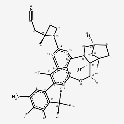 Cc1c(F)c(N)cc(-c2nc3c4c(nc(N5CC[C@@]5(C)CC#N)nc4c2F)N2C[C@H]4CC[C@H](N4)[C@H]2[C@H](C)O3)c1C(F)(F)F